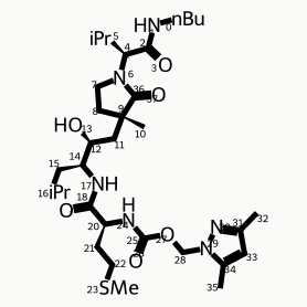 CCCCNC(=O)[C@H](C(C)C)N1CC[C@@](C)(C[C@H](O)[C@H](CC(C)C)NC(=O)[C@H](CCSC)NC(=O)OCn2nc(C)cc2C)C1=O